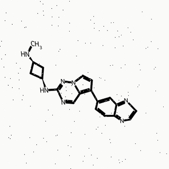 CN[C@H]1C[C@@H](Nc2ncc3c(-c4ccc5nccnc5c4)ccn3n2)C1